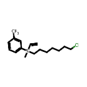 C=C[Si](C)(CCCCCCCCl)c1cccc(C(F)(F)F)c1